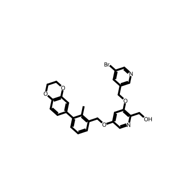 Cc1c(COc2cnc(CO)c(OCc3cncc(Br)c3)c2)cccc1-c1ccc2c(c1)OCCO2